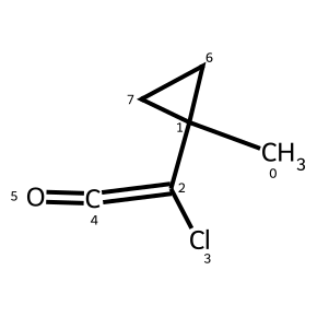 CC1(C(Cl)=C=O)CC1